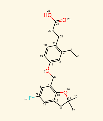 CCc1cc(OCc2cc(F)cc3c2OC(C)(C)C3)ccc1CCC(=O)O